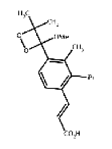 COC1(c2ccc(/C=C/C(=O)O)c(C(C)C)c2C)OOC1(C)C